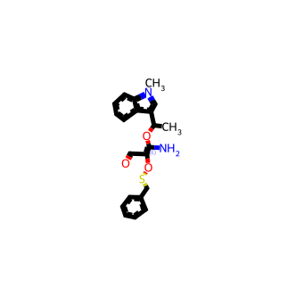 CC(O/C(N)=C(\C=O)OSCc1ccccc1)c1cn(C)c2ccccc12